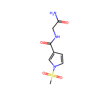 CS(=O)(=O)n1ccc(C(=O)NCC(N)=O)c1